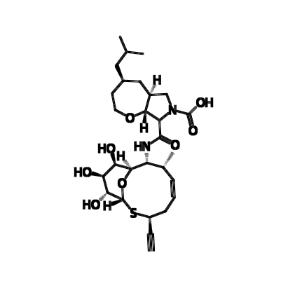 C#C[C@@H]1C/C=C\[C@@H](C)[C@@H](NC(=O)C2[C@@H]3OCC[C@@H](CC(C)C)C[C@H]3CN2C(=O)O)[C@H]2O[C@H](S1)[C@H](O)[C@@H](O)[C@H]2O